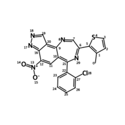 Cc1ccsc1-c1cnc2c(cc([N+](=O)[O-])c3nncc32)c(-c2ccccc2Cl)n1